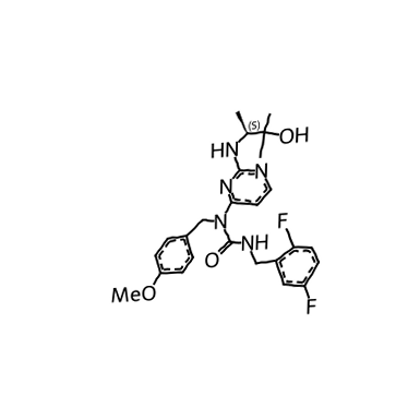 COc1ccc(CN(C(=O)NCc2cc(F)ccc2F)c2ccnc(N[C@@H](C)C(C)(C)O)n2)cc1